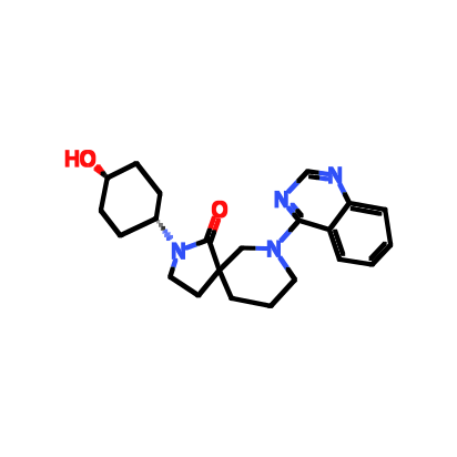 O=C1N([C@H]2CC[C@H](O)CC2)CCC12CCCN(c1ncnc3ccccc13)C2